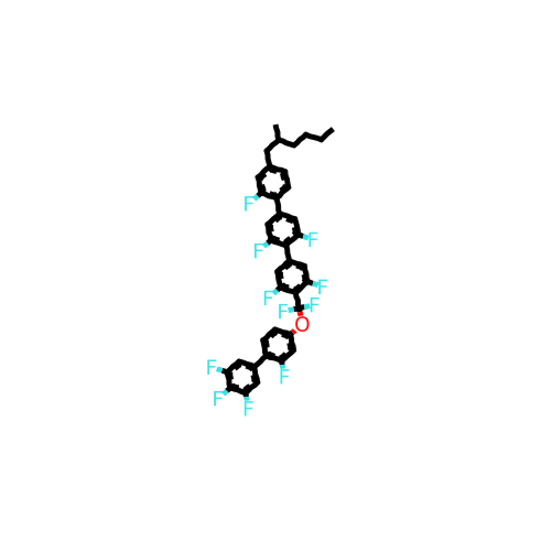 CCCCC(C)Cc1ccc(-c2cc(F)c(-c3cc(F)c(C(F)(F)Oc4ccc(-c5cc(F)c(F)c(F)c5)c(F)c4)c(F)c3)c(F)c2)c(F)c1